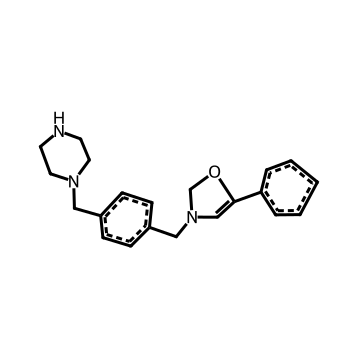 C1=C(c2ccccc2)OCN1Cc1ccc(CN2CCNCC2)cc1